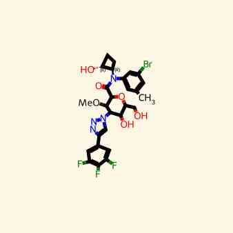 COC1C(C(=O)N(c2cc(C)cc(Br)c2)[C@@H]2CC[C@H]2O)OC(CO)C(O)C1n1cc(-c2cc(F)c(F)c(F)c2)nn1